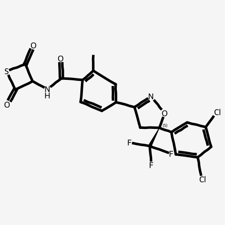 Cc1cc(C2=NO[C@@](c3cc(Cl)cc(Cl)c3)(C(F)(F)F)C2)ccc1C(=O)NC1C(=O)SC1=O